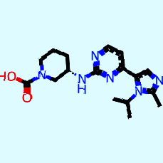 Cc1ncc(-c2ccnc(N[C@H]3CCCN(C(=O)O)C3)n2)n1C(C)C